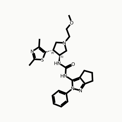 COCCN1C[C@@H](NC(=O)Nc2c3c(nn2-c2ccccc2)CCC3)[C@H](c2sc(C)nc2C)C1